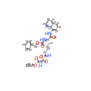 CC(C)(C)OC(=O)NS(=O)(=O)NCCCC[C@H](NC(=O)OCc1ccccc1)C(=O)Nc1cccc2cccnc12